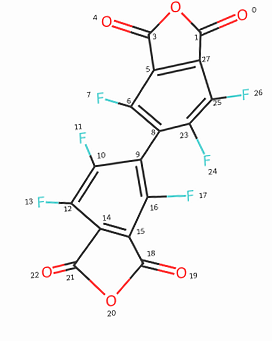 O=C1OC(=O)c2c(F)c(-c3c(F)c(F)c4c(c3F)C(=O)OC4=O)c(F)c(F)c21